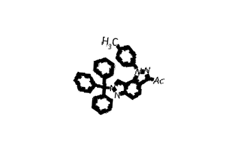 CC(=O)c1nn(-c2ccc(C)cc2)c2c1ccc1nn(C(c3ccccc3)(c3ccccc3)c3ccccc3)cc12